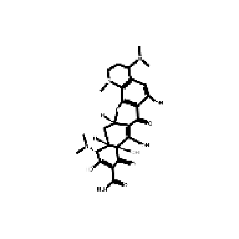 CN1CCC(N(C)C)c2cc(O)c3c(c21)C[C@H]1C[C@H]2[C@@H](N(C)C)C(O)=C(C(N)=O)C(=O)[C@@]2(O)C(O)=C1C3=O